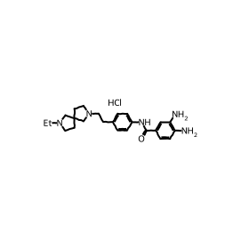 CCN1CCC2(CCN(CCc3ccc(NC(=O)c4ccc(N)c(N)c4)cc3)C2)C1.Cl